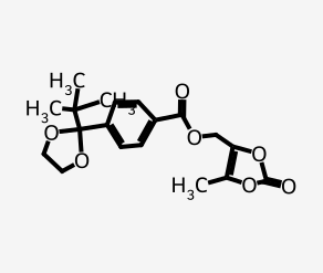 Cc1oc(=O)oc1COC(=O)c1ccc(C2(C(C)(C)C)OCCO2)cc1